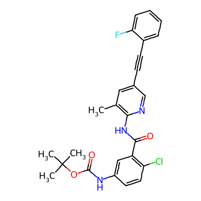 Cc1cc(C#Cc2ccccc2F)cnc1NC(=O)c1cc(NC(=O)OC(C)(C)C)ccc1Cl